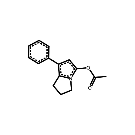 CC(=O)Oc1cc(-c2ccccc2)c2n1CCC2